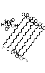 CCCCCCCCCCCCCCCCCC(=O)[O-].CCCCCCCCCCCCCCCCCC(=O)[O-].CCCCCCCCCCCCCCCCCC(=O)[O-].CCCCCCCCCCCCCCCCCC(=O)[O-].CCCCCCCCCCCCCCCCCC(=O)[O-].O=CC(O)C(O)C=O.[Na+].[Sn+4]